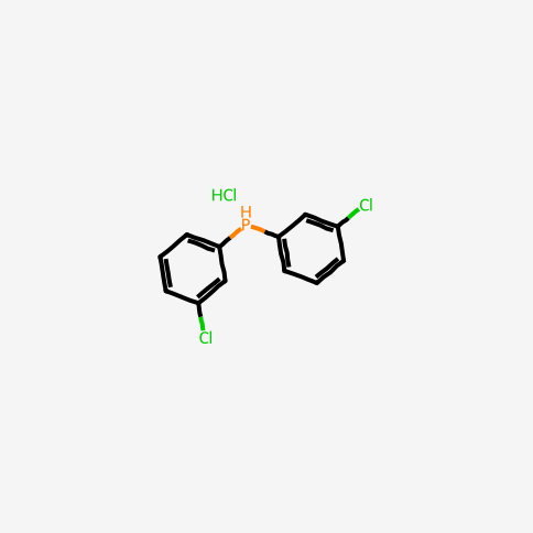 Cl.Clc1cccc(Pc2cccc(Cl)c2)c1